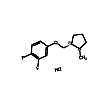 CN1CCC[C@H]1COc1ccc(F)c(F)c1.Cl